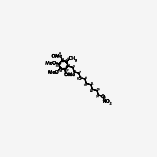 COc1c(C)c(CCCSCCCCCCO[N+](=O)[O-])c(OC)c(OC)c1OC